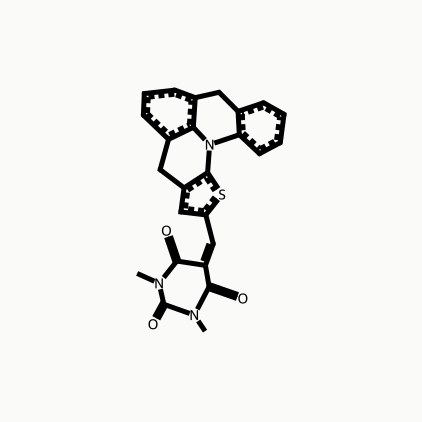 CN1C(=O)C(=Cc2cc3c(s2)N2c4ccccc4Cc4cccc(c42)C3)C(=O)N(C)C1=O